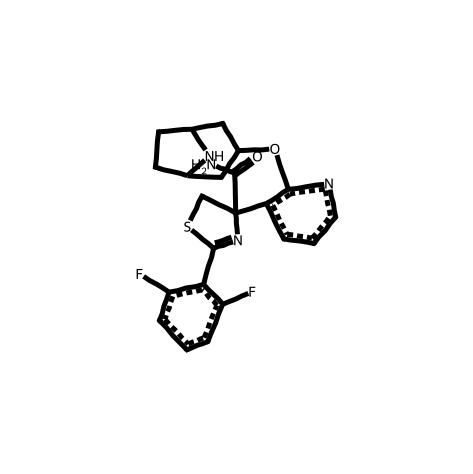 NC(=O)C1(c2cccnc2OC2CC3CCC(C2)N3)CSC(c2c(F)cccc2F)=N1